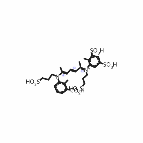 C\C(=C/C=C/C(C)=[N+](\CCCS(=O)(=O)O)c1cc(S(=O)(=O)O)cc(S(=O)(=O)O)c1C)N(CCCS(=O)(=O)O)c1cccc(C(=O)O)c1C